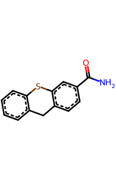 NC(=O)c1ccc2c(c1)Sc1ccccc1C2